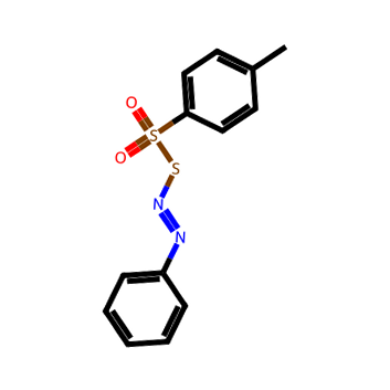 Cc1ccc(S(=O)(=O)SN=Nc2ccccc2)cc1